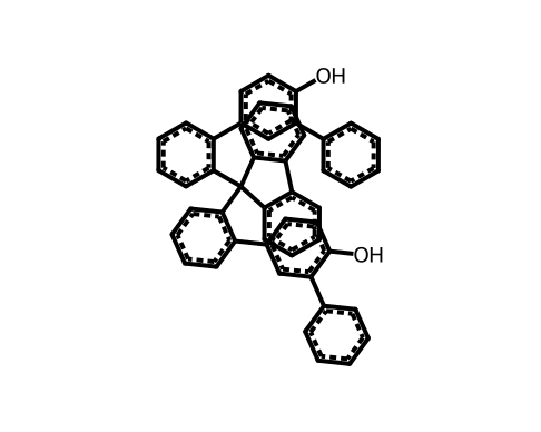 Oc1ccc(-c2ccccc2C2(c3ccccc3-c3ccc(O)c(-c4ccccc4)c3)c3ccccc3-c3ccccc32)cc1-c1ccccc1